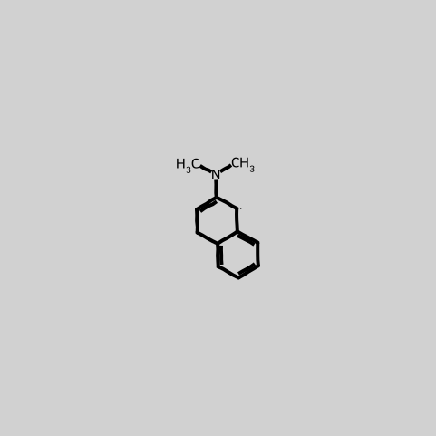 CN(C)C1=CCc2ccccc2[CH]1